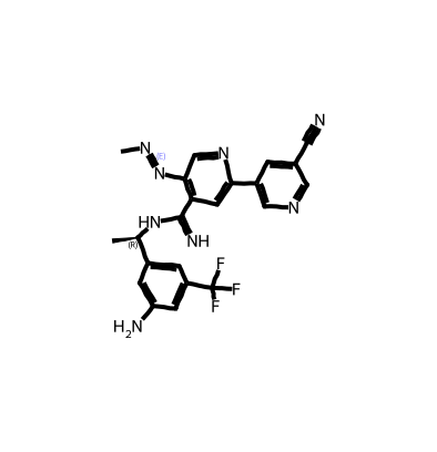 C/N=N/c1cnc(-c2cncc(C#N)c2)cc1C(=N)N[C@H](C)c1cc(N)cc(C(F)(F)F)c1